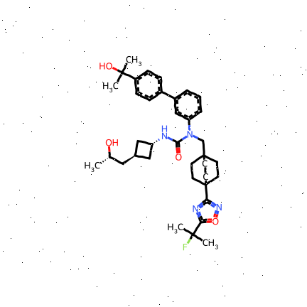 C[C@H](O)C[C@H]1C[C@H](NC(=O)N(CC23CCC(c4noc(C(C)(C)F)n4)(CC2)CC3)c2cccc(-c3ccc(C(C)(C)O)cc3)c2)C1